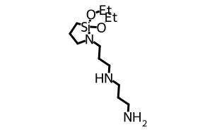 CCO[Si]1(OCC)CCCN1CCCNCCCN